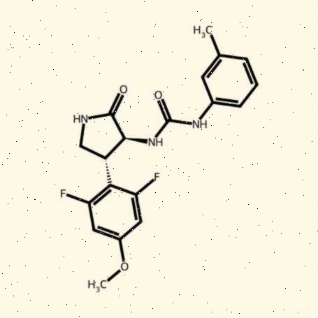 COc1cc(F)c([C@@H]2CNC(=O)[C@H]2NC(=O)Nc2cccc(C)c2)c(F)c1